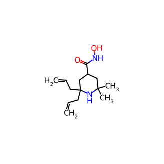 C=CCC1(CC=C)CC(C(=O)NO)CC(C)(C)N1